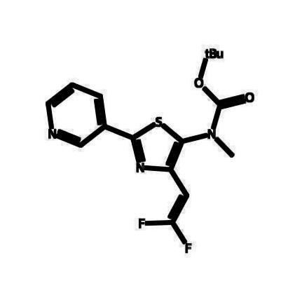 CN(C(=O)OC(C)(C)C)c1sc(-c2cccnc2)nc1C=C(F)F